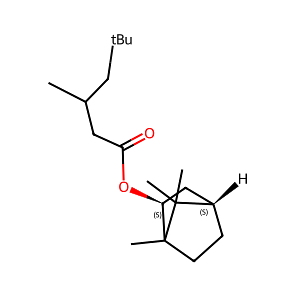 CC(CC(=O)O[C@H]1C[C@@H]2CCC1(C)C2(C)C)CC(C)(C)C